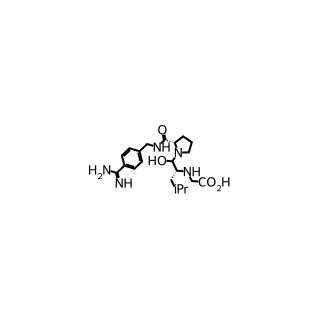 CC(C)C[C@@H](NCC(=O)O)C(O)N1CCC[C@H]1C(=O)NCc1ccc(C(=N)N)cc1